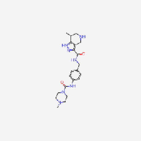 CC1CNCc2c(C(=O)NCc3ccc(NC(=O)N4CCN(C)CC4)cc3)n[nH]c21